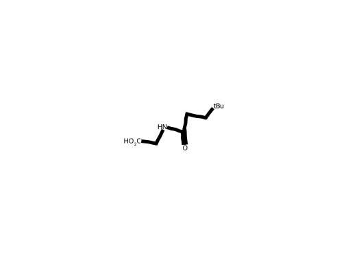 CC(C)(C)CCC(=O)NCC(=O)O